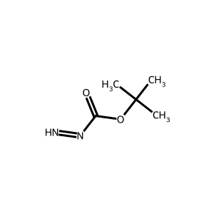 CC(C)(C)OC(=O)N=N